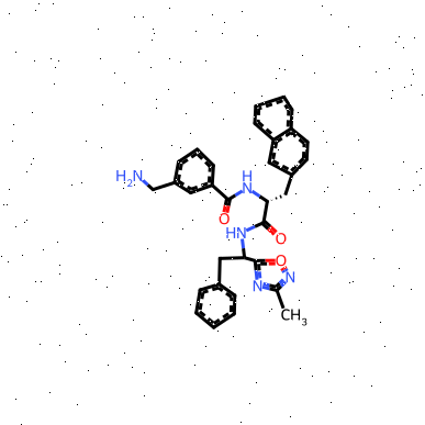 Cc1noc(C(Cc2ccccc2)NC(=O)[C@@H](Cc2ccc3ccccc3c2)NC(=O)c2cccc(CN)c2)n1